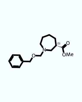 COC(=O)[C@H]1CCCCN(COCc2ccccc2)C1